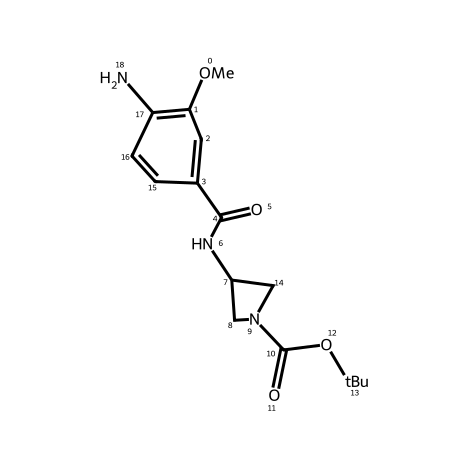 COc1cc(C(=O)NC2CN(C(=O)OC(C)(C)C)C2)ccc1N